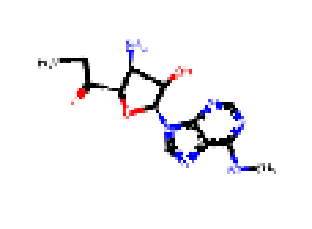 CCC(=O)[C@@H]1O[C@H](n2cnc3c(NC)ncnc32)C(O)[C@@H]1N